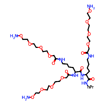 CCCNC(=O)C(CCCCNC(=O)COCCOCCOCCON)NC(=O)C(CCCCNC(=O)COCCOCCOCCON)NC(=O)COCCOCCOCCON